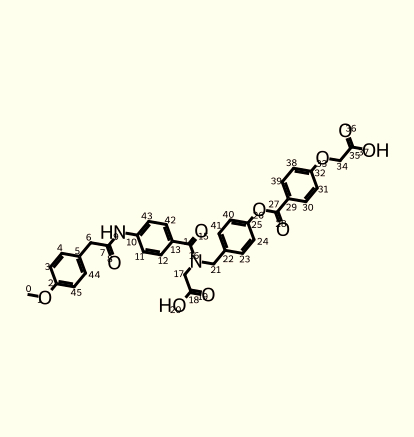 COc1ccc(CC(=O)Nc2ccc(C(=O)N(CC(=O)O)Cc3ccc(OC(=O)c4ccc(OCC(=O)O)cc4)cc3)cc2)cc1